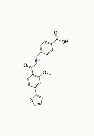 COc1cc(-c2cccs2)ccc1C(=O)/C=C/c1ccc(C(=O)O)cc1